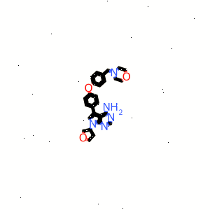 Nc1ncnc2c1c(-c1ccc(Oc3ccc(CN4CCOCC4)cc3)cc1)cn2C1CCOC1